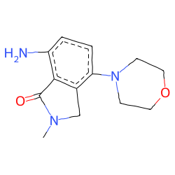 CN1Cc2c(N3CCOCC3)ccc(N)c2C1=O